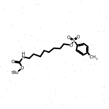 Cc1ccc(S(=O)(=O)OCCCCCCCCNC(=O)OC(C)(C)C)cc1